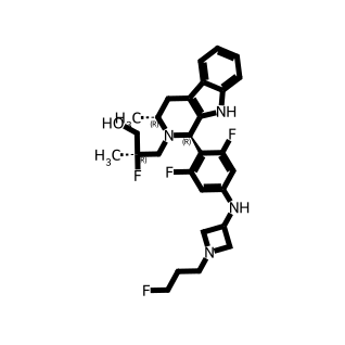 C[C@@H]1Cc2c([nH]c3ccccc23)[C@@H](c2c(F)cc(NC3CN(CCCF)C3)cc2F)N1C[C@@](C)(F)CO